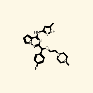 Cc1cc(Nc2nc(C(OCCN3CCN(C)CC3)c3ccc(F)cc3)nn3cccc23)n[nH]1